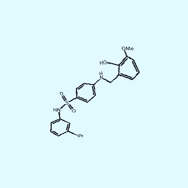 COc1cccc(CNc2ccc(S(=O)(=O)Nc3cccc(C(C)C)c3)cc2)c1O